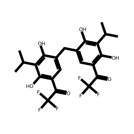 CC(C)c1c(O)c(Cc2cc(C(=O)C(F)(F)F)c(O)c(C(C)C)c2O)cc(C(=O)C(F)(F)F)c1O